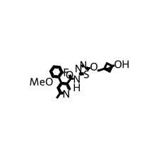 COc1cccc(F)c1-c1cc(C)ncc1C(=O)Nc1nnc(OCC23CC(O)(C2)C3)s1